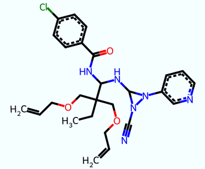 C=CCOCC(CC)(COCC=C)C(NC(=O)c1ccc(Cl)cc1)NC1N(C#N)N1c1cccnc1